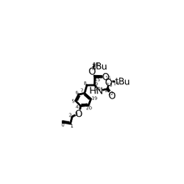 C=CCOc1ccc(CC(NC(=O)OC(C)(C)C)C(=O)OC(C)(C)C)cc1